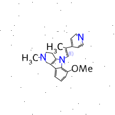 COc1cccc2c3c(n(/C=C(\C)c4ccncc4)c12)CCN(C)C3